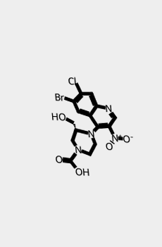 O=C(O)N1CCN(c2c([N+](=O)[O-])cnc3cc(Cl)c(Br)cc23)[C@@H](CO)C1